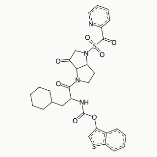 O=C(NC(CC1CCCCC1)C(=O)N1CCC2C1C(=O)CN2S(=O)(=O)C(=O)c1ccccn1)Oc1csc2ccccc12